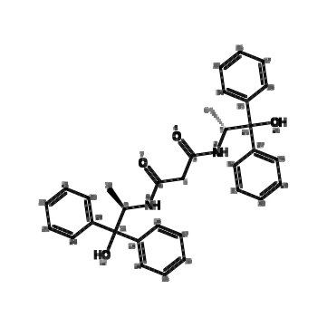 C[C@@H](NC(=O)CC(=O)N[C@H](C)C(O)(c1ccccc1)c1ccccc1)C(O)(c1ccccc1)c1ccccc1